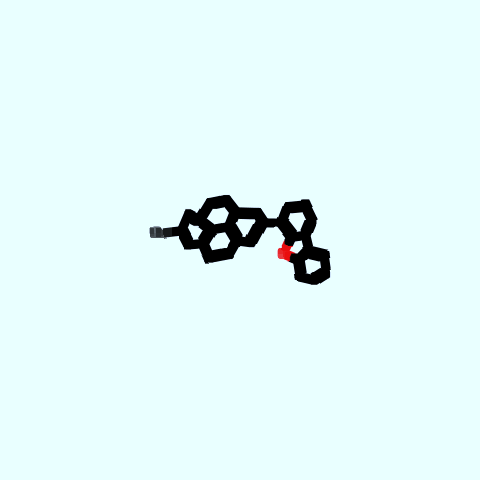 CC(C)(C)c1cc2ccc3cc(-c4cccc5c4oc4ccccc45)cc4ccc(c1)c2c34